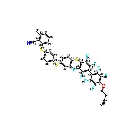 C#CCCOc1c(F)c(F)c(-c2c(F)c(F)c(Sc3ccc(Sc4ccc(Sc5cccc(C)c5C#N)cc4)cc3)c(F)c2F)c(F)c1F